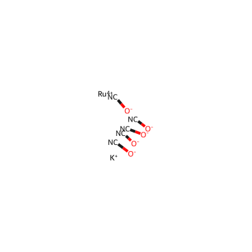 N#C[O-].N#C[O-].N#C[O-].N#C[O-].N#C[O-].[K+].[Ru+4]